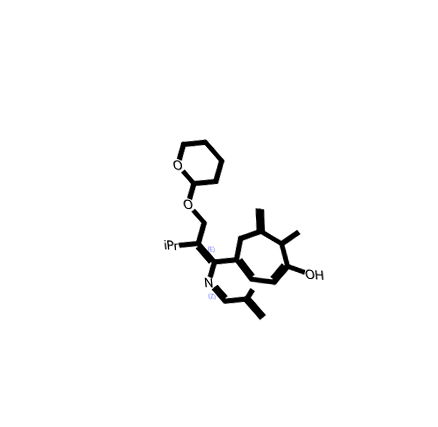 C=C(C)/C=N\C(C1=CC=C(O)C(C)C(=C)C1)=C(\COC1CCCCO1)C(C)C